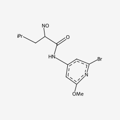 COc1cc(NC(=O)C(CC(C)C)N=O)cc(Br)n1